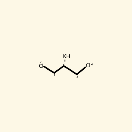 ClCCCCl.[KH]